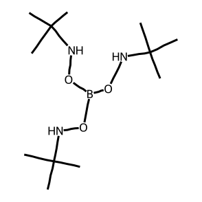 CC(C)(C)NOB(ONC(C)(C)C)ONC(C)(C)C